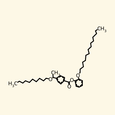 CCCCCCCCCCCCCCCOc1ccccc1OC(=O)c1ccc(C(C)OCCCCCCCCCC)cc1